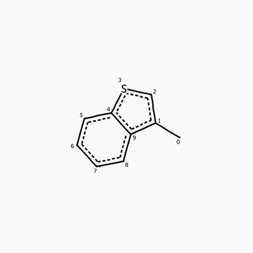 Cc1csc2cc[c]cc12